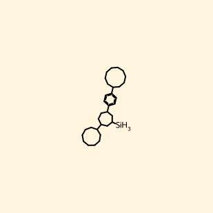 [SiH3]C1CC(c2ccc(C3CCCCCCCCC3)cc2)CCC(C2CCCCCCCC2)C1